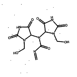 C=NC(=O)N(C1C(=O)NC(=O)N1CO)C1C(=O)NC(=O)N1CO